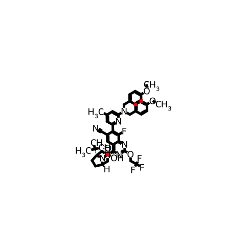 COc1ccc(CN(Cc2ccc(OC)cc2)c2cc(C)cc(-c3c(C#N)cc4c(N5C[C@@H]6CC[C@@](C(C)(C)C)(C5)N6C(=O)O)nc(OCC(F)(F)F)nc4c3F)n2)cc1